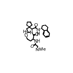 CNCC(=O)N[C@H]1CCO[C@H]2CC3(CCCC3)C(C(=O)N[C@@H]3CCCc4ccccc43)N2C1=O